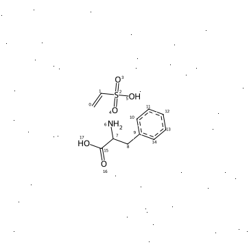 C=CS(=O)(=O)O.NC(Cc1ccccc1)C(=O)O